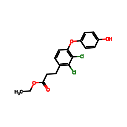 CCOC(=O)CCc1ccc(Oc2ccc(O)cc2)c(Cl)c1Cl